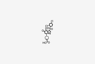 O=C(O)N1CCC(c2cc(=O)[nH]c3c(S(=O)(=O)c4ccc(Cl)cc4Cl)cnn23)CC1